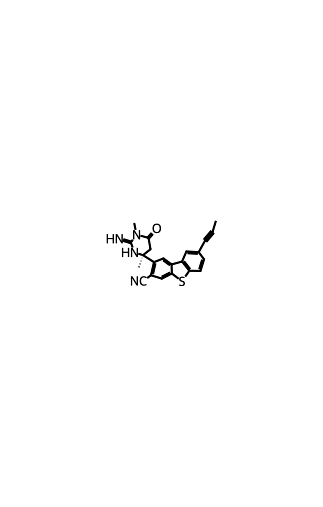 CC#Cc1ccc2sc3cc(C#N)c([C@]4(C)CC(=O)N(C)C(=N)N4)cc3c2c1